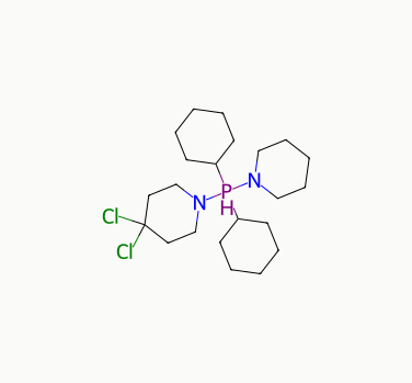 ClC1(Cl)CCN([PH](C2CCCCC2)(C2CCCCC2)N2CCCCC2)CC1